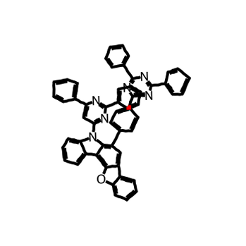 c1ccc(-c2cc(-n3c4ccccc4c4c5oc6ccccc6c5cc(-c5ccc(-c6nc(-c7ccccc7)nc(-c7ccccc7)n6)cc5)c43)nc(-c3ccccc3)n2)cc1